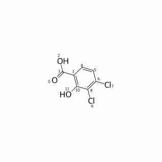 O=C(O)c1ccc(Cl)c(Cl)c1O